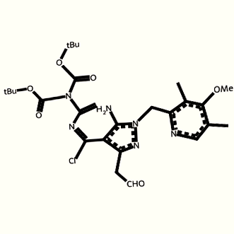 C=C(/N=C(/Cl)c1c(CC=O)nn(Cc2ncc(C)c(OC)c2C)c1N)N(C(=O)OC(C)(C)C)C(=O)OC(C)(C)C